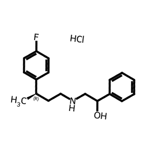 C[C@H](CCNCC(O)c1ccccc1)c1ccc(F)cc1.Cl